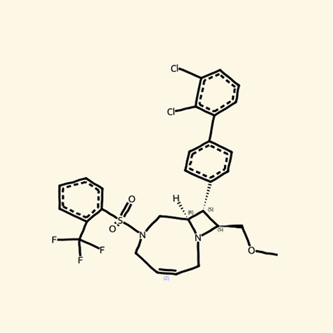 COC[C@@H]1[C@@H](c2ccc(-c3cccc(Cl)c3Cl)cc2)[C@@H]2CN(S(=O)(=O)c3ccccc3C(F)(F)F)C/C=C\CN12